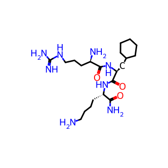 N=C(N)NCCC[C@@H](N)C(=O)N[C@@H](CC1CCCCC1)C(=O)N[C@@H](CCCCN)C(N)=O